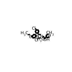 CCCOc1ccc(N2CCN(C[C@@](C)(O)c3ccnc(C)c3)C[C@H]2c2ccc(Cl)cc2)c(Cl)c1